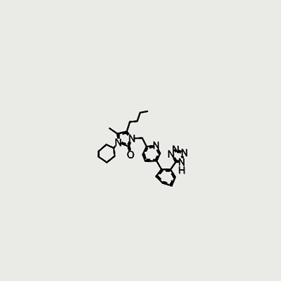 CCCCc1c(C)n(C2CCCCC2)c(=O)n1Cc1ccc(-c2ccccc2-c2nnn[nH]2)cn1